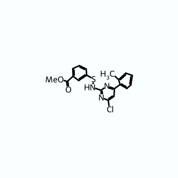 COC(=O)c1cccc(SNc2nc(Cl)cc(-c3ccccc3C)n2)c1